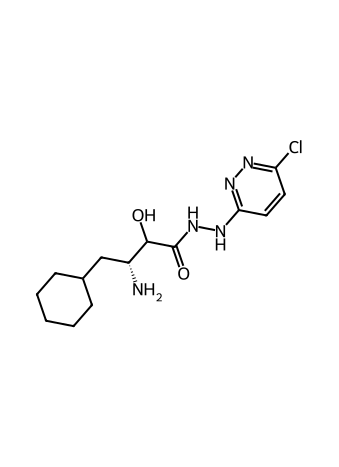 N[C@H](CC1CCCCC1)C(O)C(=O)NNc1ccc(Cl)nn1